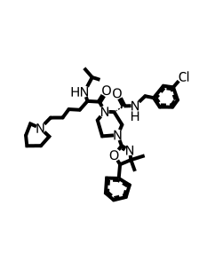 CC(C)NC(CCCCN1CCCCC1)C(=O)N1CCN(C2=NC(C)(C)C(c3ccccc3)O2)C[C@H]1C(=O)NCc1cccc(Cl)c1